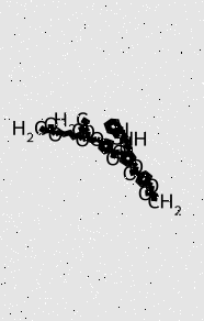 C=CC(=O)OCCCCCOC(COc1ccc(C(=O)Oc2ccc(OC(=O)c3ccc(OC(=O)C=C)cc3)cc2/C=N/Nc2nc3ccccc3s2)cc1)OC(=O)C=C